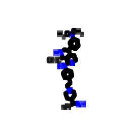 CCCC(=N)C1CCN(CCc2ccc(Nc3nccc4c3C(C=O)NC=C4c3cccc(N(C)C)c3)cc2)CC1